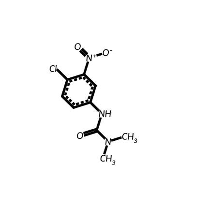 CN(C)C(=O)Nc1ccc(Cl)c([N+](=O)[O-])c1